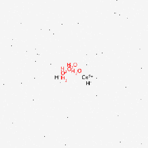 O.O.O.O.[Ca+2].[H-].[H-]